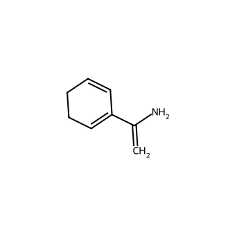 C=C(N)C1=CCCC=C1